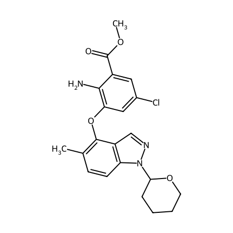 COC(=O)c1cc(Cl)cc(Oc2c(C)ccc3c2cnn3C2CCCCO2)c1N